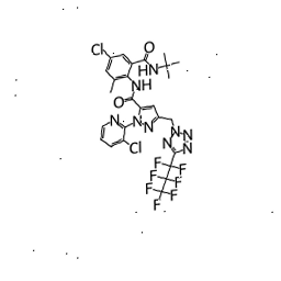 Cc1cc(Cl)cc(C(=O)NC(C)(C)C)c1NC(=O)c1cc(Cn2nnc(C(F)(F)C(F)(F)C(F)(F)F)n2)nn1-c1ncccc1Cl